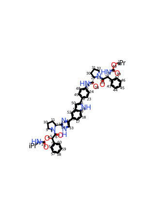 CC(C)NC(=O)O[C@@H](C(=O)N1CCC[C@H]1c1nc(-c2ccc3[nH]c(-c4ccc(NC(=O)[C@@H]5CCCN5C(=O)[C@H](NC(=O)OC(C)C)c5ccccc5)cc4)cc3c2)c[nH]1)c1ccccc1